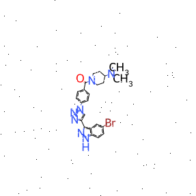 CN(C)C1CCN(C(=O)c2ccc(-n3cc(-c4n[nH]c5ccc(Br)cc45)nn3)cc2)CC1